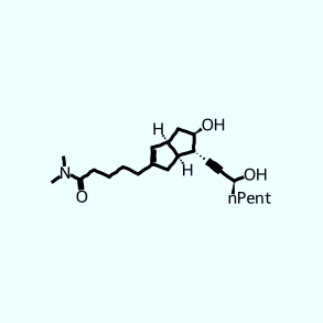 CCCCC[C@H](O)C#C[C@@H]1[C@H]2CC(CCCCC(=O)N(C)C)=C[C@H]2C[C@H]1O